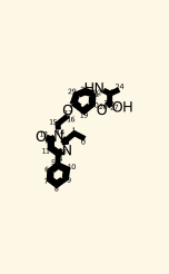 CCc1nc(-c2ccccc2)cc(=O)n1CCOc1ccc(NC(C)C(=O)O)cc1